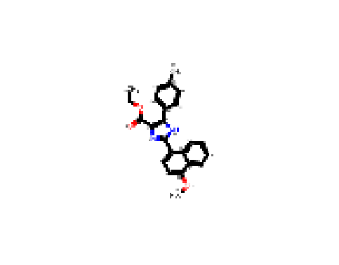 CCOC(=O)c1nc(-c2ccc(OC)c3ccccc23)[nH]c1-c1ccc(C)cc1